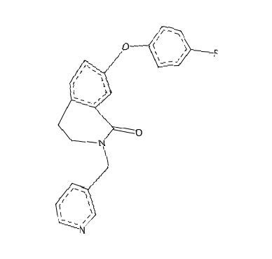 O=C1c2cc(Oc3ccc(F)cc3)ccc2CCN1Cc1cccnc1